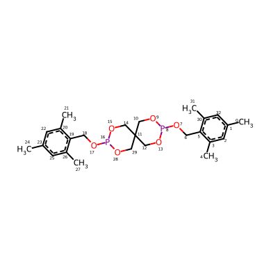 Cc1cc(C)c(COP2OCC3(CO2)COP(OCc2c(C)cc(C)cc2C)OC3)c(C)c1